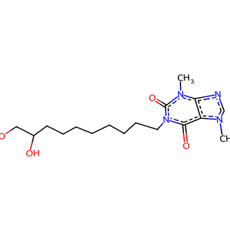 Cn1cnc2c1c(=O)n(CCCCCCCCC(O)CO)c(=O)n2C